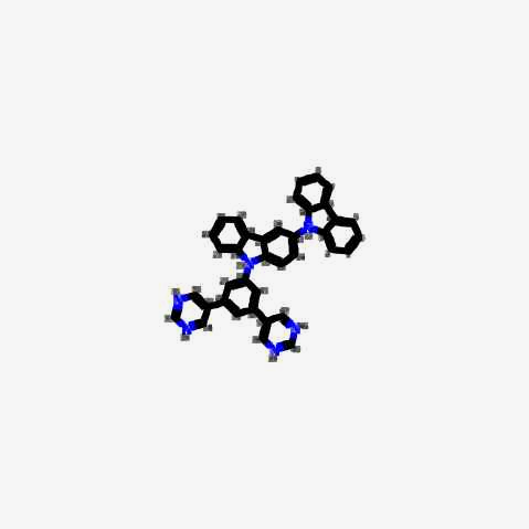 c1ccc2c(c1)c1ccccc1n2-c1ccc2c(c1)c1ccccc1n2-c1cc(-c2cncnc2)cc(-c2cncnc2)c1